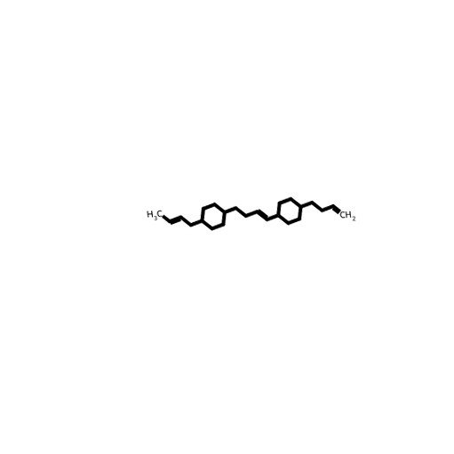 C=CCCC1CCC(C=CCCC2CCC(CC=CC)CC2)CC1